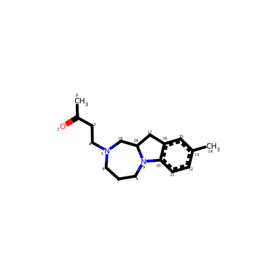 CC(=O)CCN1CCCN2c3ccc(C)cc3CC2C1